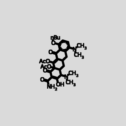 CCCCOc1ccc(N(C)C)c2c1C(=O)C1=C(OC(C)=O)C3(OC(C)=O)C(=O)C(C(N)=O)=C(O)C(N(C)C)C3CC1C2